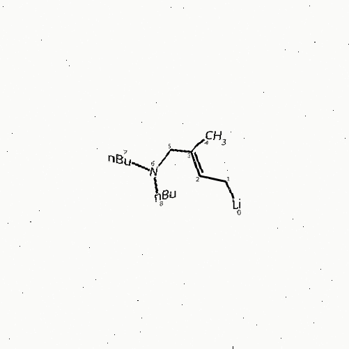 [Li][CH2]C=C(C)CN(CCCC)CCCC